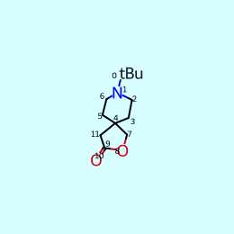 CC(C)(C)N1CCC2(CC1)COC(=O)C2